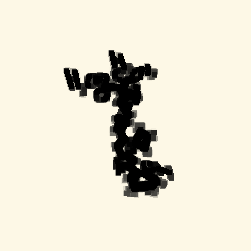 COC(=O)C(c1cc(N2CC3(CC(c4cc5nnc(-c6ccccc6O)cc5n4C4CCC4)C3)C2)no1)C(C)C